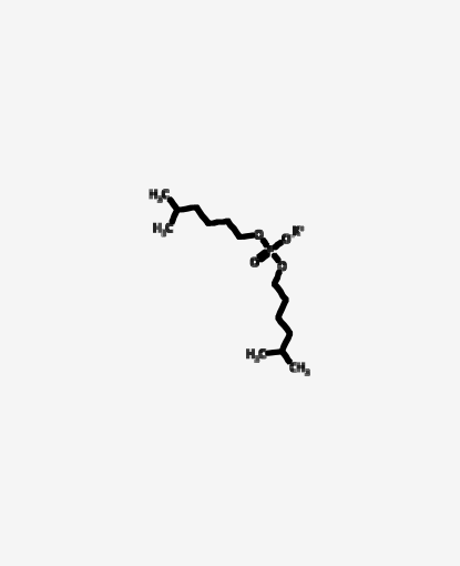 CC(C)CCCCOP(=O)([O-])OCCCCC(C)C.[K+]